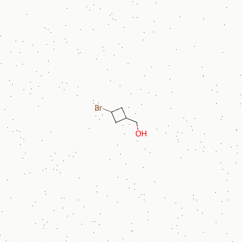 OCC1CC(Br)C1